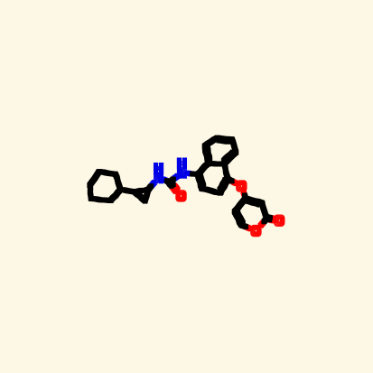 O=C(Nc1ccc(Oc2ccoc(=O)c2)c2ccccc12)NC1CC1C1CCCCC1